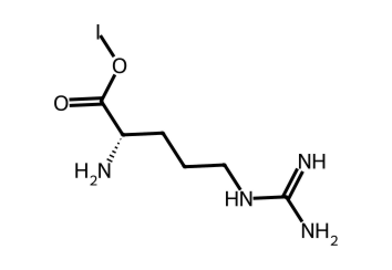 N=C(N)NCCC[C@H](N)C(=O)OI